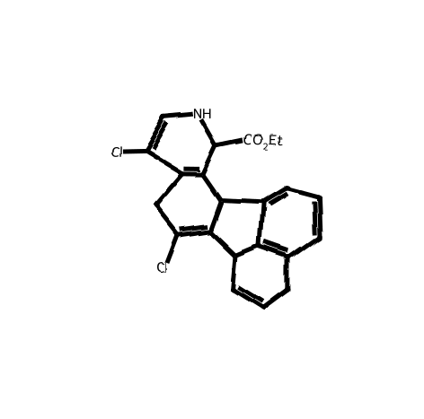 CCOC(=O)C1NC=C(Cl)C2=C1C1C(=C(Cl)C2)C2C=CCc3cccc1c32